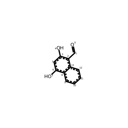 O=Cc1c(O)cc(O)c2ccccc12